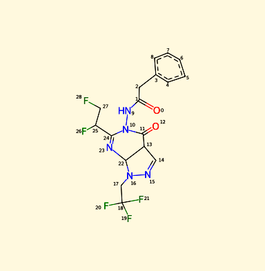 O=C(Cc1ccccc1)NN1C(=O)C2C=NN(CC(F)(F)F)C2N=C1C(F)CF